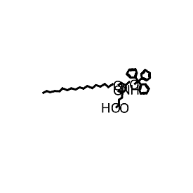 CCCCCCCCCCCCCCCCCCOCC(COC(c1ccccc1)(c1ccccc1)c1ccccc1)NC(=O)CCC(=O)O